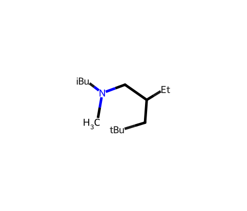 CCC(CN(C)C(C)CC)CC(C)(C)C